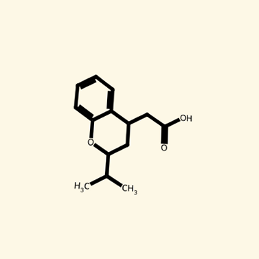 CC(C)C1CC(CC(=O)O)c2ccccc2O1